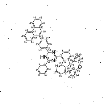 c1ccc(C2=NC(c3cccc4c3-c3ccccc3C43c4ccccc4Oc4ccccc43)=NC(c3ccc(-c4cc5ccccc5c5ccccc45)cc3)N2)cc1